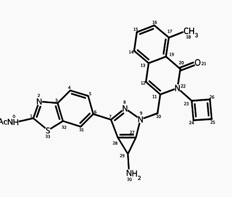 CC(=O)Nc1nc2ccc(-c3nn(Cc4cc5cccc(C)c5c(=O)n4C4=CC=C4)c4c3C4N)cc2s1